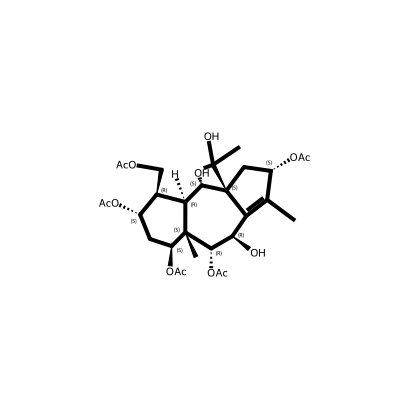 CC(=O)OC[C@H]1[C@H]2[C@H](O)[C@]3(C(C)(C)O)C[C@H](OC(C)=O)C(C)=C3[C@@H](O)[C@H](OC(C)=O)[C@]2(C)[C@@H](OC(C)=O)C[C@@H]1OC(C)=O